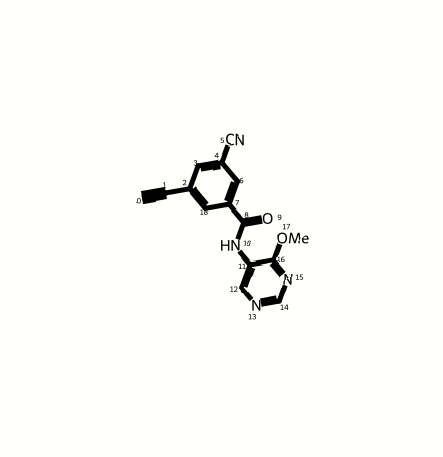 C#Cc1cc(C#N)cc(C(=O)Nc2cncnc2OC)c1